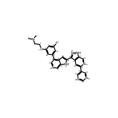 CN(C)CCOc1cc(F)cc(-c2cncc3[nH]c(-c4n[nH]c5cnc(-c6cncnc6)cc45)cc23)c1